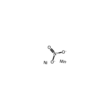 O=[N+]([O-])[O-].[Mn].[Ni]